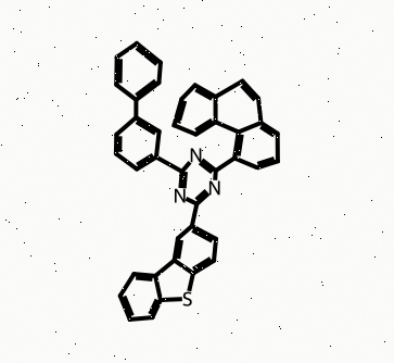 c1ccc(-c2cccc(-c3nc(-c4ccc5sc6ccccc6c5c4)nc(-c4cccc5ccc6ccccc6c45)n3)c2)cc1